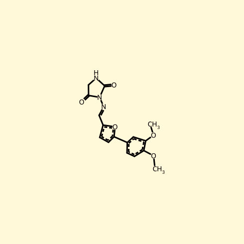 COc1ccc(-c2ccc(C=NN3C(=O)CNC3=O)o2)cc1OC